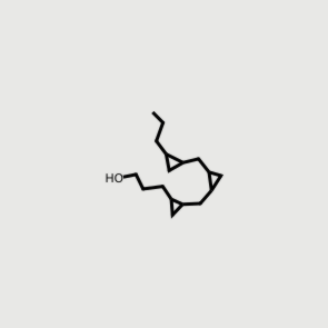 CCCC1CC1CC1CC1CC1CC1CCCO